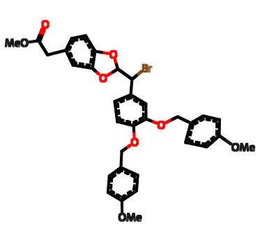 COC(=O)Cc1ccc2c(c1)OC(C(Br)c1ccc(OCc3ccc(OC)cc3)c(OCc3ccc(OC)cc3)c1)O2